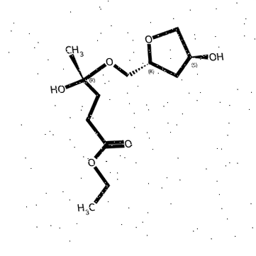 CCOC(=O)CC[C@](C)(O)OC[C@H]1C[C@H](O)CO1